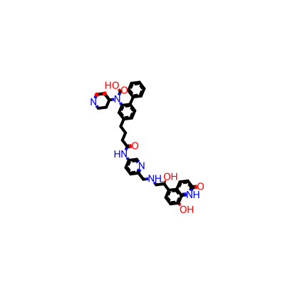 O=C(CCCc1ccc(-c2ccccc2)c(N(C(=O)O)C23CCN(CC2)CC3)c1)Nc1ccc(CNC[C@@H](O)c2ccc(O)c3[nH]c(=O)ccc23)nc1